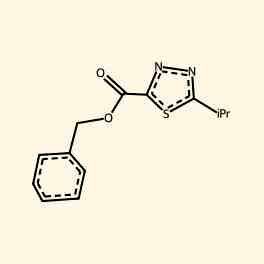 CC(C)c1nnc(C(=O)OCc2ccccc2)s1